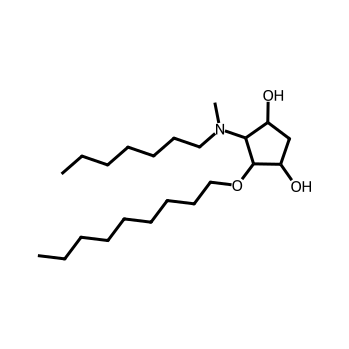 CCCCCCCCCOC1C(O)CC(O)C1N(C)CCCCCCC